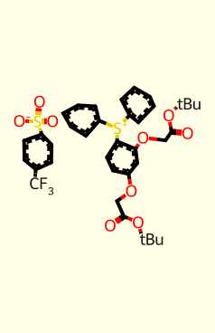 CC(C)(C)OC(=O)COc1ccc([S+](c2ccccc2)c2ccccc2)c(OCC(=O)OC(C)(C)C)c1.O=S(=O)([O-])c1ccc(C(F)(F)F)cc1